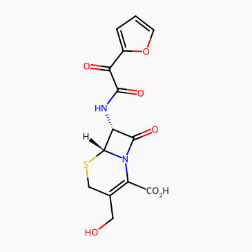 O=C(O)C1=C(CO)CS[C@@H]2[C@H](NC(=O)C(=O)c3ccco3)C(=O)N12